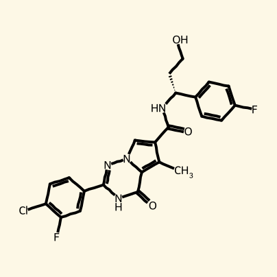 Cc1c(C(=O)N[C@H](CCO)c2ccc(F)cc2)cn2nc(-c3ccc(Cl)c(F)c3)[nH]c(=O)c12